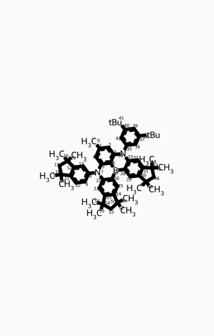 Cc1cc2c3c(c1)N(c1ccc4c(c1)C(C)(C)CC4(C)C)c1cc4c(cc1B3c1cc3c(cc1N2c1cc(C(C)(C)C)cc(C(C)(C)C)c1)C(C)(C)CC3(C)C)C(C)(C)CC4(C)C